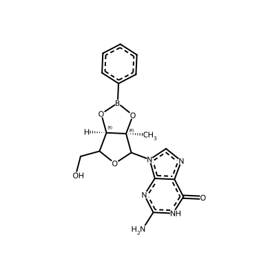 C[C@@]12OB(c3ccccc3)O[C@@H]1C(CO)OC2n1cnc2c(=O)[nH]c(N)nc21